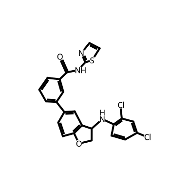 O=C(Nc1nccs1)c1cccc(-c2ccc3c(c2)C(Nc2ccc(Cl)cc2Cl)CO3)c1